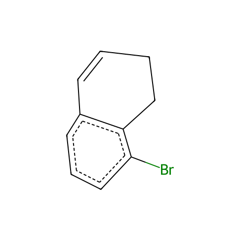 Brc1cccc2c1CCC=C2